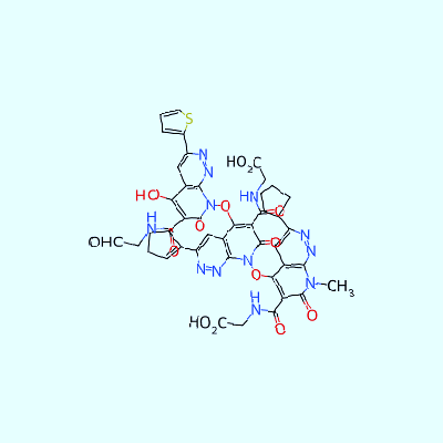 Cn1c(=O)c(C(=O)NCC(=O)O)c(On2c(=O)c(C(=O)NCC(=O)O)c(On3c(=O)c(C(=O)NCC=O)c(O)c4cc(-c5cccs5)nnc43)c3cc(C4=CCCC4)nnc32)c2cc(C3CCCC3)nnc21